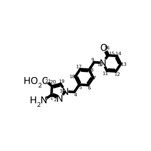 Nc1nn(Cc2ccc(Cn3ccccc3=O)cc2)cc1C(=O)O